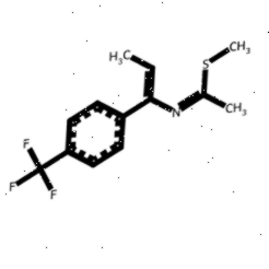 C/C=C(/N=C(/C)SC)c1ccc(C(F)(F)F)cc1